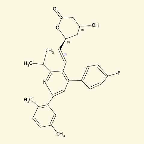 Cc1ccc(C)c(-c2cc(-c3ccc(F)cc3)c(/C=C/[C@@H]3C[C@@H](O)CC(=O)O3)c(C(C)C)n2)c1